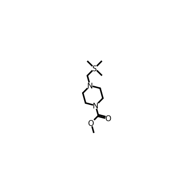 COC(=O)N1CCN(CS(C)(C)C)CC1